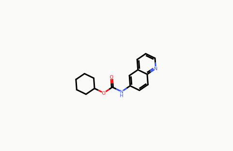 O=C(Nc1ccc2ncccc2c1)OC1CCCCC1